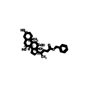 C[C@H](CCC(=O)OCc1ccccc1)[C@H]1CCC2[C@@H]3C(C[C@H](O)[C@@]21C)[C@@]1(C)CC[C@@H](O)CC1C[C@H]3O